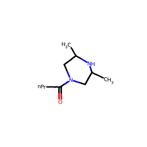 CCCC(=O)N1CC(C)NC(C)C1